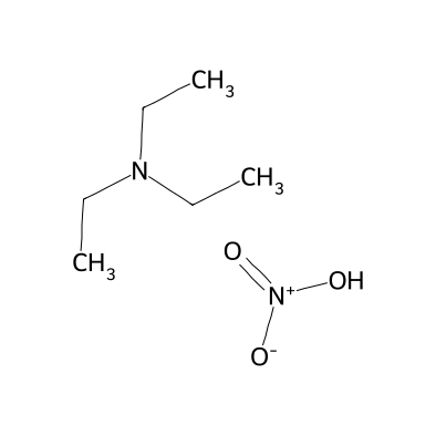 CCN(CC)CC.O=[N+]([O-])O